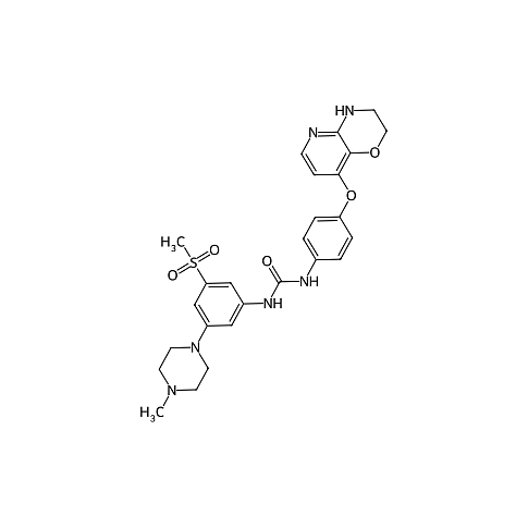 CN1CCN(c2cc(NC(=O)Nc3ccc(Oc4ccnc5c4OCCN5)cc3)cc(S(C)(=O)=O)c2)CC1